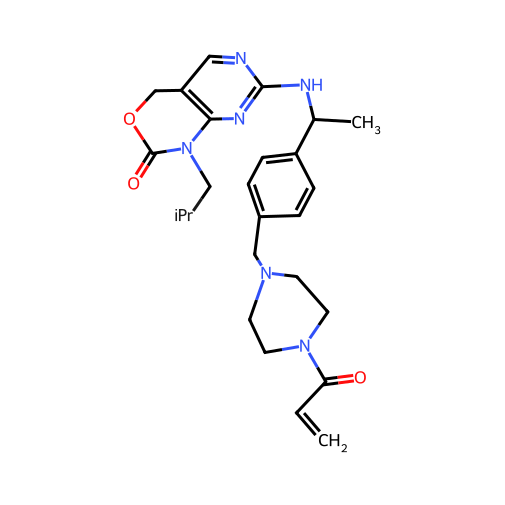 C=CC(=O)N1CCN(Cc2ccc(C(C)Nc3ncc4c(n3)N(CC(C)C)C(=O)OC4)cc2)CC1